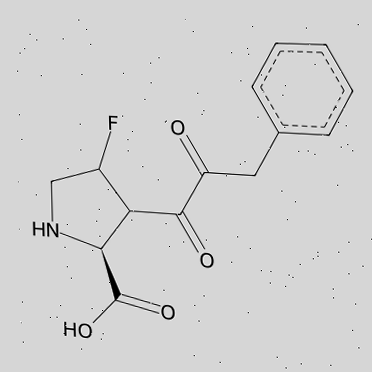 O=C(Cc1ccccc1)C(=O)C1C(F)CN[C@@H]1C(=O)O